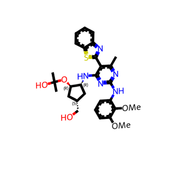 COc1cccc(Nc2nc(C)c(-c3nc4ccccc4s3)c(N[C@@H]3C[C@H](CO)C[C@H]3OC(C)(C)O)n2)c1OC